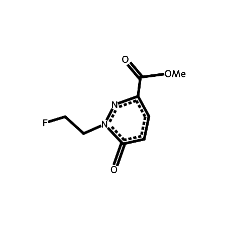 COC(=O)c1ccc(=O)n(CCF)n1